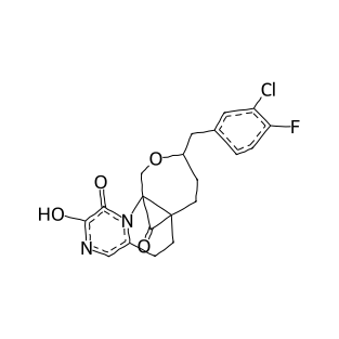 O=C1C23CCc4cnc(O)c(=O)n4C12COC(Cc1ccc(F)c(Cl)c1)CC3